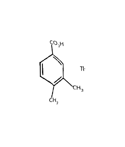 Cc1ccc(C(=O)O)cc1C.[Tl]